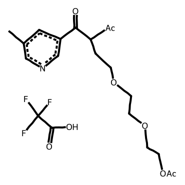 CC(=O)OCCOCCOCCC(C(C)=O)C(=O)c1cncc(C)c1.O=C(O)C(F)(F)F